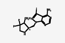 Nc1ncnc2c1c(I)nn2C[C@H]1NCC(F)(F)C1C(=O)O